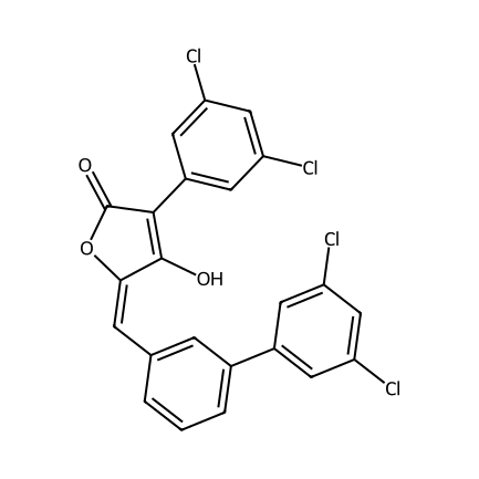 O=C1OC(=Cc2cccc(-c3cc(Cl)cc(Cl)c3)c2)C(O)=C1c1cc(Cl)cc(Cl)c1